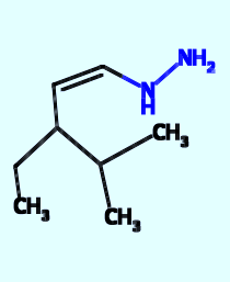 CCC(/C=C\NN)C(C)C